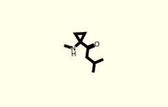 CNC1(C(=O)CC(C)C)CC1